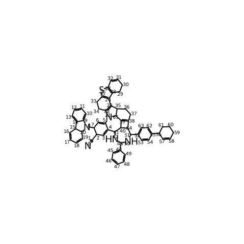 N#CC1C=C2C(=CC1N1c3ccccc3C3C=CC=CC31)N1C3=C(c4c(sc5c4CCC=C5)CC3)C3CCC4=C(C5C2NC(c2ccccc2)NC(c2ccc(C6C=CCCC6)cc2)C45)C31